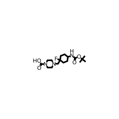 CC(C)(C)OC(=O)NC1CCC(F)(CN2CCN(C(=O)O)CC2)CC1